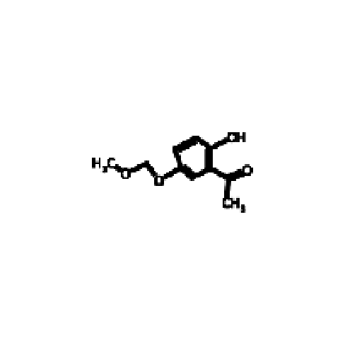 COCOc1ccc(O)c(C(C)=O)c1